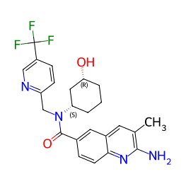 Cc1cc2cc(C(=O)N(Cc3ccc(C(F)(F)F)cn3)[C@H]3CCC[C@@H](O)C3)ccc2nc1N